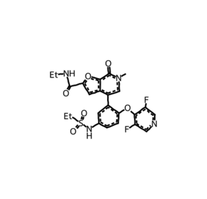 CCNC(=O)c1cc2c(-c3cc(NS(=O)(=O)CC)ccc3Oc3c(F)cncc3F)cn(C)c(=O)c2o1